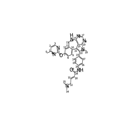 Cc1ccnc(Oc2ccc3c(c2)CNc2ncnc4c2c-3c(-c2ccc(NC(=O)/C=C/CN(C)C)cc2)n4C)n1